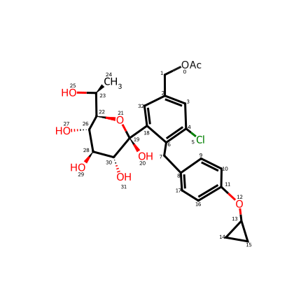 CC(=O)OCc1cc(Cl)c(Cc2ccc(OC3CC3)cc2)c([C@@]2(O)O[C@H]([C@H](C)O)[C@@H](O)[C@H](O)[C@H]2O)c1